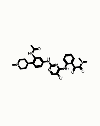 CC(=O)Nc1cc(Nc2ncc(Cl)c(Nc3ccccc3C(=O)C(=O)N(C)C)n2)ccc1C1CCN(C)CC1